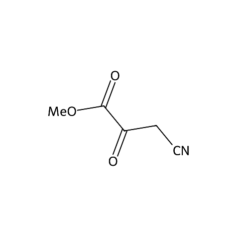 COC(=O)C(=O)CC#N